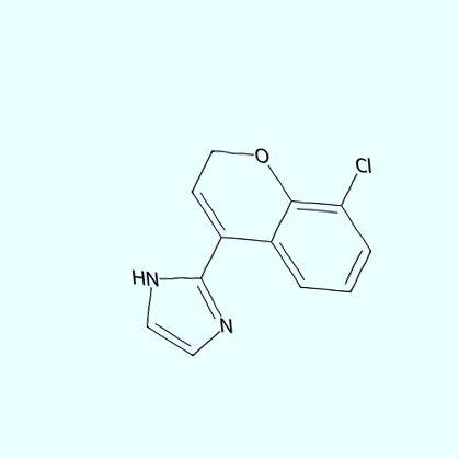 Clc1cccc2c1OCC=C2c1ncc[nH]1